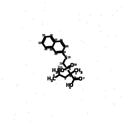 CC(C)CC(C)(C(=O)O)P(=O)(O)CSc1ccc2ccccc2c1